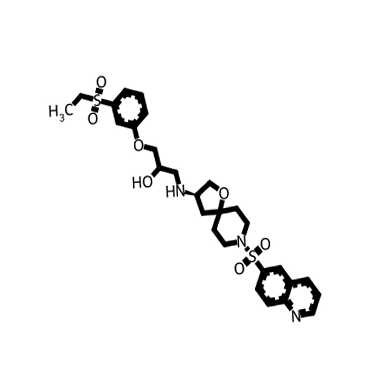 CCS(=O)(=O)c1cccc(OCC(O)CN[C@H]2COC3(CCN(S(=O)(=O)c4ccc5ncccc5c4)CC3)C2)c1